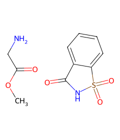 COC(=O)CN.O=C1NS(=O)(=O)c2ccccc21